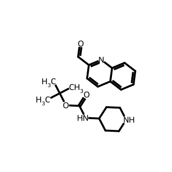 CC(C)(C)OC(=O)NC1CCNCC1.O=Cc1ccc2ccccc2n1